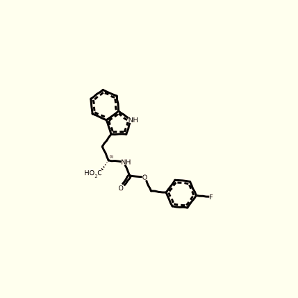 O=C(N[C@@H](Cc1c[nH]c2ccccc12)C(=O)O)OCc1ccc(F)cc1